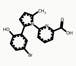 Cc1ccc(-c2cc(Br)ccc2O)n1-c1cccc(C(=O)O)n1